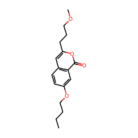 CCCCOc1ccc2cc(CCCOC)oc(=O)c2c1